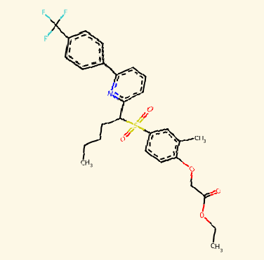 CCCCC(c1cccc(-c2ccc(C(F)(F)F)cc2)n1)S(=O)(=O)c1ccc(OCC(=O)OCC)c(C)c1